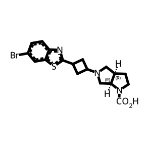 O=C(O)N1CC[C@@H]2CN(C3CC(c4nc5ccc(Br)cc5s4)C3)C[C@@H]21